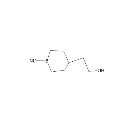 N#CB1CCC(CCO)CC1